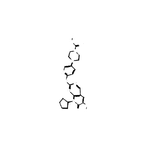 CCOc1cc2cnc(Nc3ccc(N4CCN(C(=O)OC(C)(C)C)CC4)cn3)nc2n(C2CCCC2)c1=O